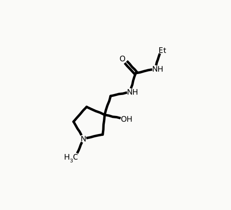 CCNC(=O)NCC1(O)CCN(C)C1